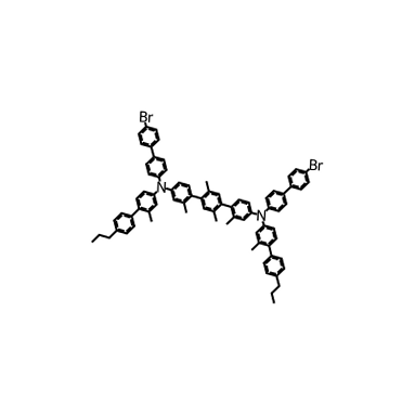 CCCc1ccc(-c2ccc(N(c3ccc(-c4ccc(Br)cc4)cc3)c3ccc(-c4cc(C)c(-c5ccc(N(c6ccc(-c7ccc(Br)cc7)cc6)c6ccc(-c7ccc(CCC)cc7)c(C)c6)cc5C)cc4C)c(C)c3)cc2C)cc1